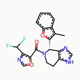 Cc1c([C@@H]2c3nc[nH]c3CCN2C(=O)c2ocnc2C(F)F)oc2ccccc12